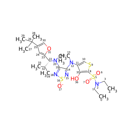 CCN(CC)S(=O)(=O)c1scc(N(C)c2n[s+]([O-])nc2N(C)[C@@H](c2cc(C(C)(C)C)co2)C(C)C)c1O